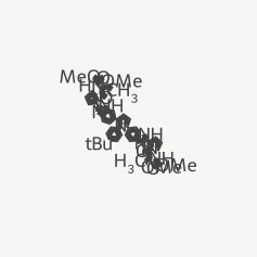 COC(=O)N[C@H](C(=O)N1CCC[C@H]1c1nc2ccc([C@H]3CC[C@H](c4ccc5nc([C@@H]6CCCN6C(=O)[C@@H](NC(=O)OC)[C@@H](C)OC)[nH]c5c4)N3c3ccc(C(C)(C)C)cc3)cc2[nH]1)[C@@H](C)OC